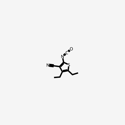 CCc1sc(N=C=O)c(C#N)c1CC